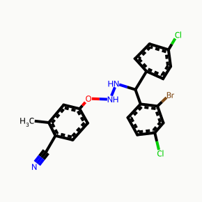 Cc1cc(ONNC(c2ccc(Cl)cc2)c2ccc(Cl)cc2Br)ccc1C#N